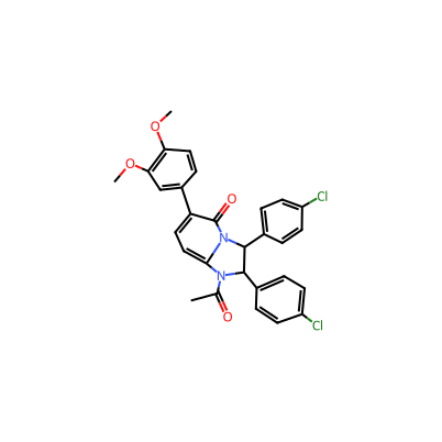 COc1ccc(-c2ccc3n(c2=O)C(c2ccc(Cl)cc2)C(c2ccc(Cl)cc2)N3C(C)=O)cc1OC